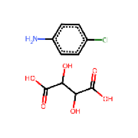 Nc1ccc(Cl)cc1.O=C(O)C(O)C(O)C(=O)O